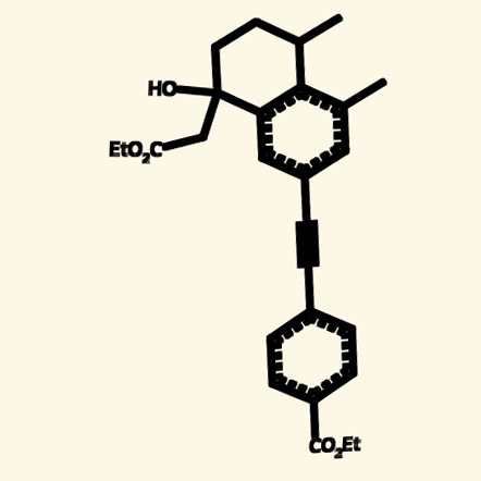 CCOC(=O)CC1(O)CCC(C)c2c(C)cc(C#Cc3ccc(C(=O)OCC)cc3)cc21